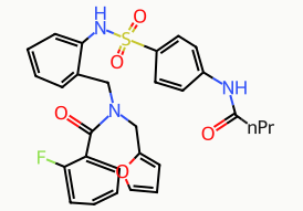 CCCC(=O)Nc1ccc(S(=O)(=O)Nc2ccccc2CN(Cc2ccco2)C(=O)c2ccccc2F)cc1